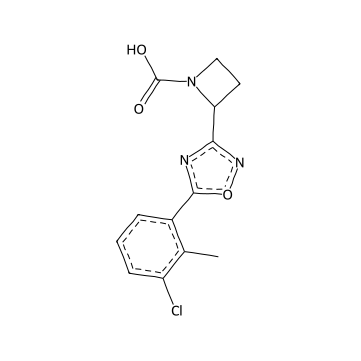 Cc1c(Cl)cccc1-c1nc(C2CCN2C(=O)O)no1